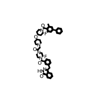 Cc1cc(-c2ccccc2)cc(F)c1C(=O)N1CCC(OC2CCN(CC(=O)N3CCN(C(=O)c4cc(Cc5n[nH]c(=O)c6ccccc56)ccc4F)CC3)CC2)CC1